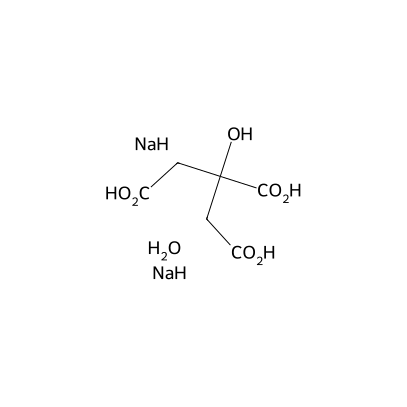 O.O=C(O)CC(O)(CC(=O)O)C(=O)O.[NaH].[NaH]